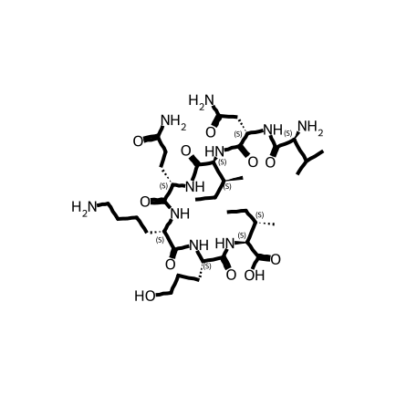 CC[C@H](C)[C@H](NC(=O)[C@H](CCCO)NC(=O)[C@H](CCCCN)NC(=O)[C@H](CCC(N)=O)NC(=O)[C@@H](NC(=O)[C@H](CC(N)=O)NC(=O)[C@@H](N)C(C)C)[C@@H](C)CC)C(=O)O